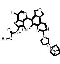 CN1C2CC1CN([C@@H]1CCN(c3ncc4c5c(c(-c6ncc(F)c7sc(NC(=O)OC(C)(C)C)c(C#N)c67)c(F)c4n3)COC5)C1)C2